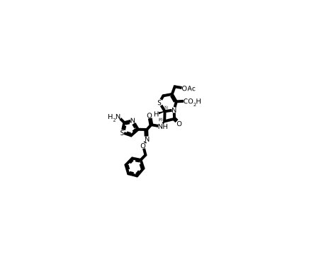 CC(=O)OCC1=C(C(=O)O)N2C(=O)[C@@H](NC(=O)C(=NOCc3ccccc3)c3csc(N)n3)[C@@H]2SC1